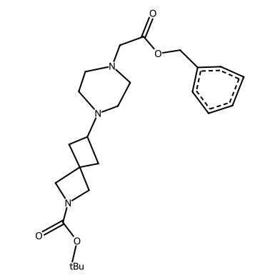 CC(C)(C)OC(=O)N1CC2(CC(N3CCN(CC(=O)OCc4ccccc4)CC3)C2)C1